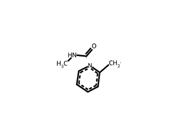 CN[C]=O.[CH2]c1ccccn1